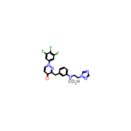 O=C(O)N(CCn1cncn1)c1cccc(Cc2nn(-c3cc(F)c(F)c(F)c3)ccc2=O)c1